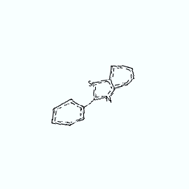 c1ccc(-c2nc3ccccc3[se]2)cc1